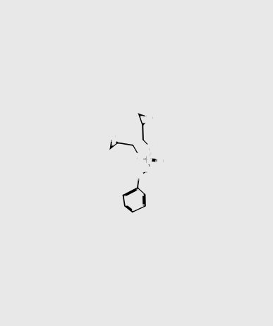 O=P(OCC1CO1)(OCC1CO1)OSc1ccccc1